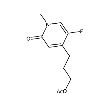 CC(=O)OCCCc1cc(=O)n(C)cc1F